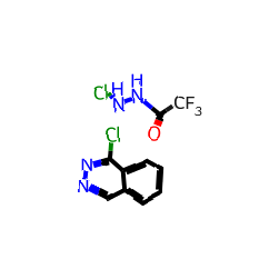 Clc1nncc2ccccc12.O=C(NNCl)C(F)(F)F